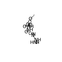 CCCCOc1cc(C)c(S(=O)(=O)N[C@@H](CNC(=O)c2ccc3c(cnn3CCCNc3ncc[nH]3)c2)C(C)=O)c(C)c1